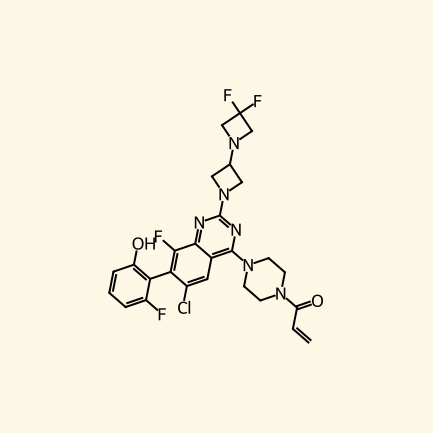 C=CC(=O)N1CCN(c2nc(N3CC(N4CC(F)(F)C4)C3)nc3c(F)c(-c4c(O)cccc4F)c(Cl)cc23)CC1